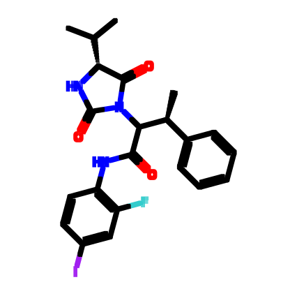 CC(C)[C@H]1NC(=O)N(C(C(=O)Nc2ccc(I)cc2F)[C@@H](C)c2ccccc2)C1=O